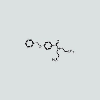 CCCN(CCC)C(=O)c1ccc(OCc2ccccc2)cc1